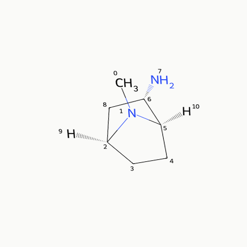 CN1[C@H]2CC[C@@H]1[C@@H](N)C2